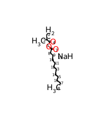 C=C(C)C(=O)OC(=O)CCCCCCCCCCC.[NaH]